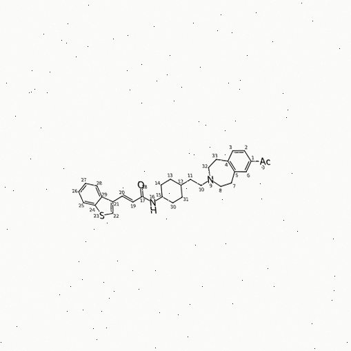 CC(=O)c1ccc2c(c1)CCN(CCC1CCC(NC(=O)C=Cc3csc4ccccc34)CC1)CC2